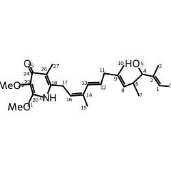 CC=C(C)C(O)C(C)C=C(C)CC=CC(C)=CCc1[nH]c(OC)c(OC)c(=O)c1C